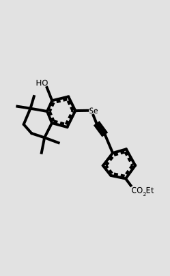 CCOC(=O)c1ccc(C#C[Se]c2cc(O)c3c(c2)C(C)(C)CCC3(C)C)cc1